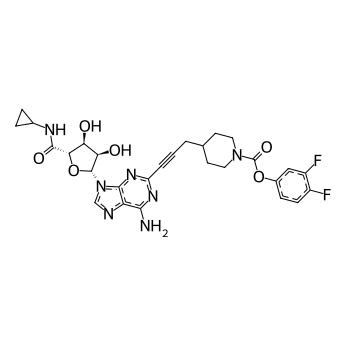 Nc1nc(C#CCC2CCN(C(=O)Oc3ccc(F)c(F)c3)CC2)nc2c1ncn2[C@@H]1O[C@H](C(=O)NC2CC2)[C@@H](O)[C@H]1O